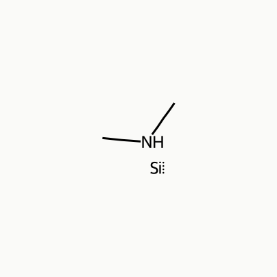 CNC.[Si]